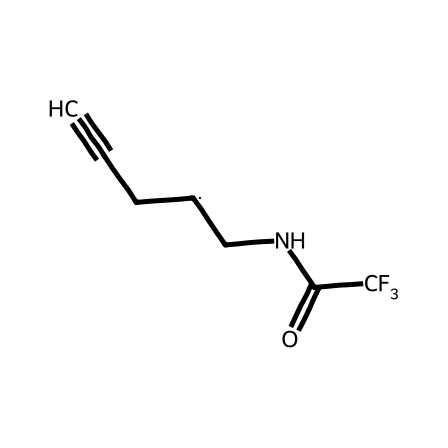 C#CC[CH]CNC(=O)C(F)(F)F